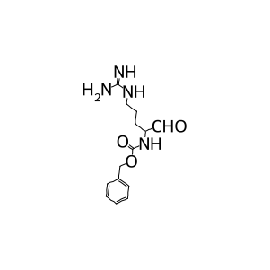 N=C(N)NCCCC(C=O)NC(=O)OCc1ccccc1